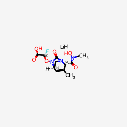 CC1=C[C@@H]2CN(C(=O)N2O[C@@H](F)C(=O)O)[C@@H]1C(=O)N(C)O.[LiH]